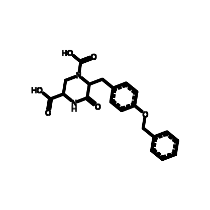 O=C(O)C1CN(C(=O)O)C(Cc2ccc(OCc3ccccc3)cc2)C(=O)N1